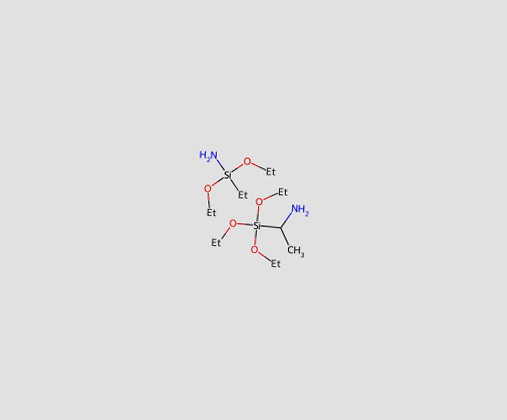 CCO[Si](N)(CC)OCC.CCO[Si](OCC)(OCC)C(C)N